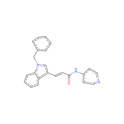 O=C(C=Cc1cn(Cc2ccccc2)c2ccccc12)Nc1ccncc1